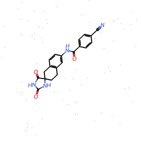 N#Cc1ccc(C(=O)Nc2ccc3c(c2)CCC2(C3)NC(=O)NC2=O)cc1